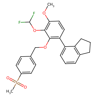 COc1ccc(-c2cccc3c2CCC3)c(OCc2ccc(S(C)(=O)=O)cc2)c1OC(F)F